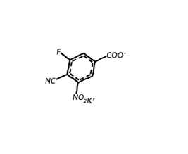 N#Cc1c(F)cc(C(=O)[O-])cc1[N+](=O)[O-].[K+]